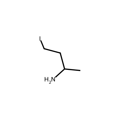 CC(N)CCI